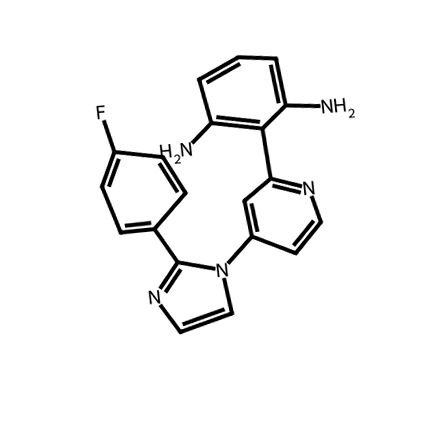 Nc1cccc(N)c1-c1cc(-n2ccnc2-c2ccc(F)cc2)ccn1